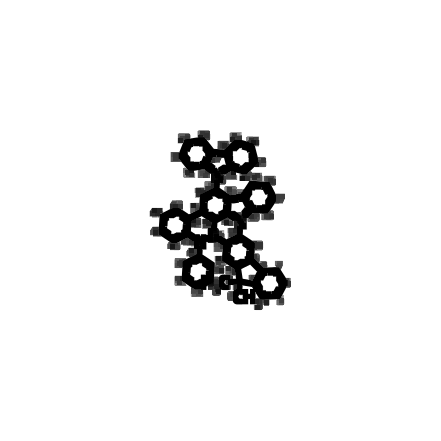 CC1(C)c2ccccc2-c2cc3c(cc21)B1c2c(cc(-n4c5ccccc5c5ccccc54)c4c5ccccc5n-3c24)-c2ccccc2N1c1ccccc1